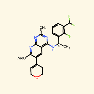 COc1nc2nc(C)nc(N[C@H](C)c3cccc(C(F)F)c3F)c2cc1C1=CCOCC1